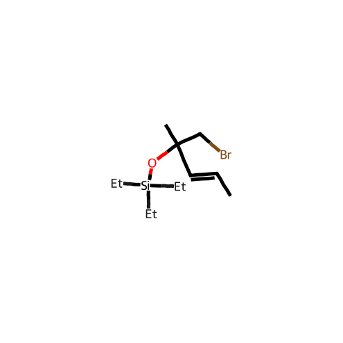 CC=CC(C)(CBr)O[Si](CC)(CC)CC